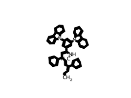 C=C/C=C(\C=C\C(/C=C(\NC)c1cc(-n2c3c(c4ccccc42)CCC=C3)cc(-n2c3ccccc3c3ccccc32)c1)c1ccccc1)c1ccccc1